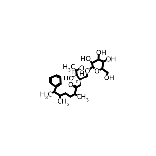 CC(CCC(C)C(C)c1ccccc1)C(=O)C[C@@H](COC1OC(CO)C(O)C(O)C1O)[C@H](O)[C@@H](C)O